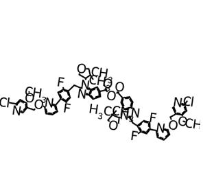 COc1cc(Cl)ncc1COc1cccc(-c2cc(F)c(Cc3nc4ccc(C(=O)OC(=O)c5ccc6nc(Cc7cc(F)c(-c8cccc(OCc9cnc(Cl)cc9OC)n8)cc7F)n(C7COCC7(C)C)c6c5)cc4n3C3COCC3(C)C)cc2F)n1